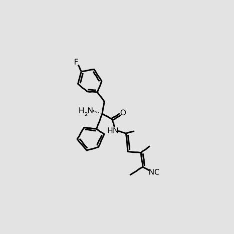 [C-]#[N+]/C(C)=C(C)/C=C(\C)NC(=O)[C@](N)(Cc1ccc(F)cc1)c1ccccc1